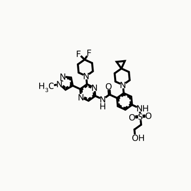 Cn1cc(-c2ncc(NC(=O)c3ccc(NS(=O)(=O)CCO)cc3N3CCC4(CC3)CC4)nc2N2CCC(F)(F)CC2)cn1